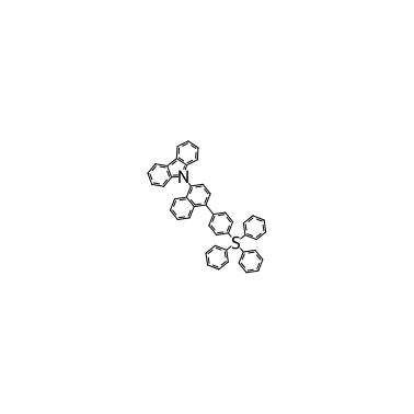 c1ccc(S(c2ccccc2)(c2ccccc2)c2ccc(-c3ccc(-n4c5ccccc5c5ccccc54)c4ccccc34)cc2)cc1